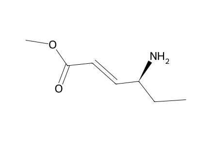 CC[C@H](N)/C=C/C(=O)OC